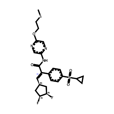 CSCCOc1cnc(NC(=O)/C(=C/[C@H]2C[C@@H](F)[C@@H](F)C2)c2ccc(S(=O)(=O)C3CC3)cc2)cn1